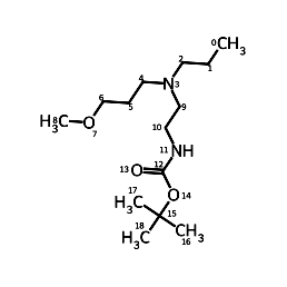 CCCN(CCCOC)CCNC(=O)OC(C)(C)C